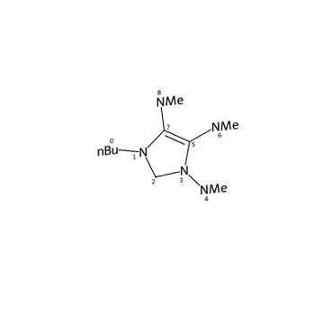 CCCCN1CN(NC)C(NC)=C1NC